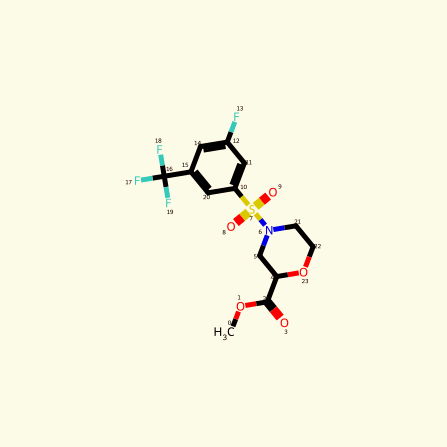 COC(=O)C1CN(S(=O)(=O)c2cc(F)cc(C(F)(F)F)c2)CCO1